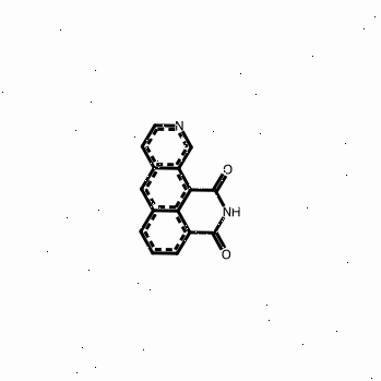 O=C1NC(=O)c2c3cnccc3cc3cccc1c23